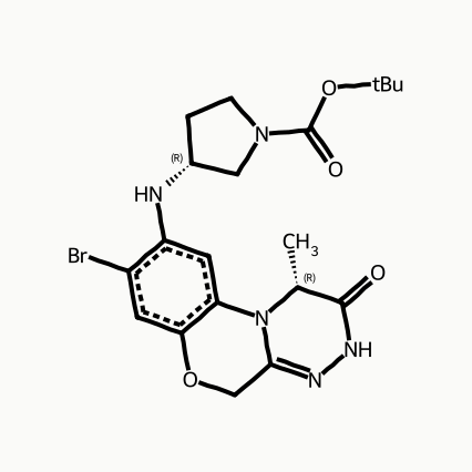 C[C@@H]1C(=O)NN=C2COc3cc(Br)c(N[C@@H]4CCN(C(=O)OC(C)(C)C)C4)cc3N21